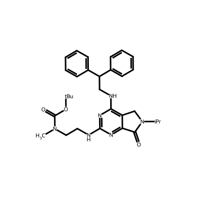 CC(C)N1Cc2c(NCC(c3ccccc3)c3ccccc3)nc(NCCN(C)C(=O)OC(C)(C)C)nc2C1=O